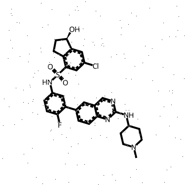 CN1CCC(Nc2ncc3cc(-c4cc(NS(=O)(=O)c5cc(Cl)cc6c5CC[C@H]6O)ccc4F)ccc3n2)CC1